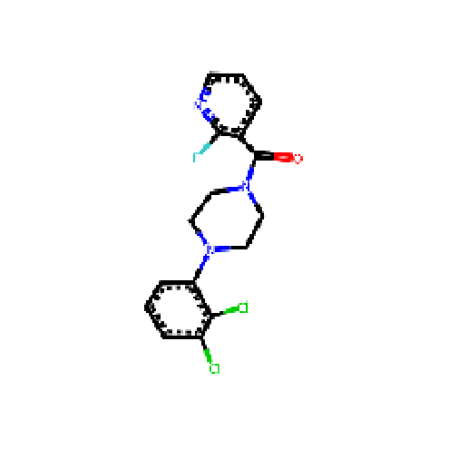 O=C(c1cccnc1F)N1CCN(c2cccc(Cl)c2Cl)CC1